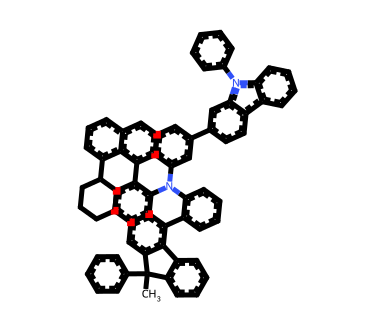 CC1(c2ccccc2)c2ccccc2-c2c(-c3ccccc3N(c3cccc(-c4ccc5c6ccccc6n(-c6ccccc6)c5c4)c3)c3ccccc3-c3cccc4cccc(C5CCCCC5)c34)cccc21